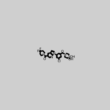 O=C(c1cnc2c(ccn2-c2cc(Cl)cc(C(=O)N3CCS(O)(O)CC3)c2)c1)N1CCC(F)(F)CC1